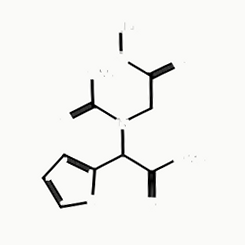 COC(=O)C(c1cccs1)N(CC(=O)OC(C)(C)C)C(=O)OC